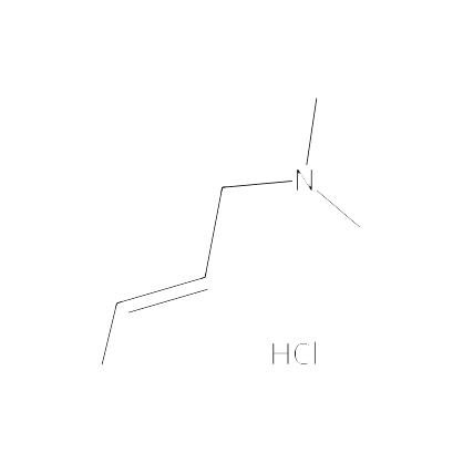 CC=CCN(C)C.Cl